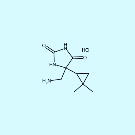 CC1(C)CC1C1(CN)NC(=O)NC1=O.Cl